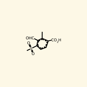 Cc1c(C(=O)O)ccc(S(C)(=O)=O)c1C=O